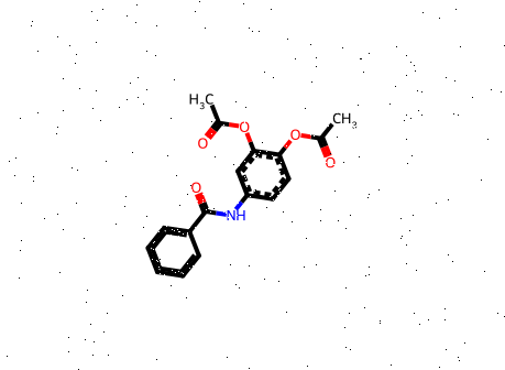 CC(=O)Oc1ccc(NC(=O)C2=C=C=C=C=C2)cc1OC(C)=O